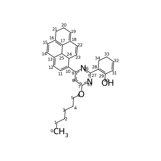 CCCCCCOc1cc(C2=CC=C3C=CC4=C5C(=CCC4)C=CC2C35)nc(C2=C(O)C=CCC2)n1